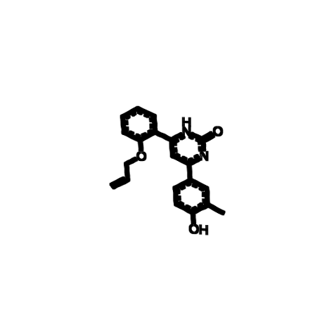 C=CCOc1ccccc1-c1cc(-c2ccc(O)c(C)c2)nc(=O)[nH]1